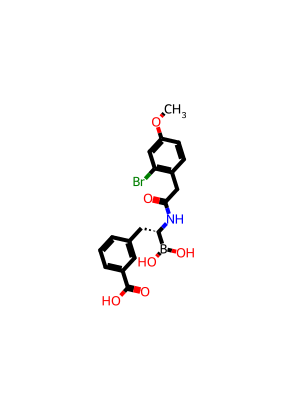 COc1ccc(CC(=O)N[C@@H](Cc2cccc(C(=O)O)c2)B(O)O)c(Br)c1